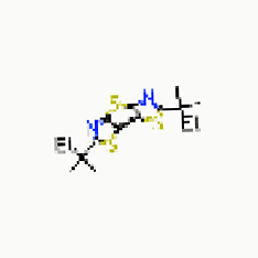 CCC(C)(C)c1nc2sc3nc(C(C)(C)CC)sc3c2s1